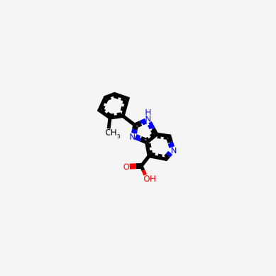 Cc1ccccc1-c1nc2c(C(=O)O)cncc2[nH]1